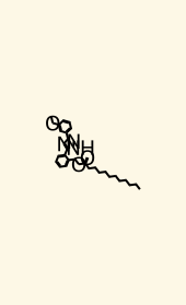 CCCCCCCCCCCC(=O)OCc1ccccc1-c1nc(-c2cccc(OC)c2)n[nH]1